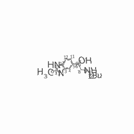 Cc1nc2cc([C@@H](O)CNC(C)(C)C)ccc2[nH]1